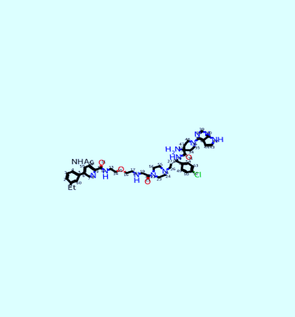 CCc1cccc(-c2cnc(C(=O)NCCOCCNCC(=O)N3CCN(CC[C@H](NC(=O)C4(N)CCN(c5ncnc6[nH]ccc56)CC4)c4ccc(Cl)cc4)CC3)c(NC(C)=O)c2)c1